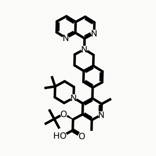 Cc1nc(C)c([C@H](OC(C)(C)C)C(=O)O)c(N2CCC(C)(C)CC2)c1-c1ccc2c(c1)CCN(c1nccc3cccnc13)C2